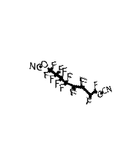 N#COC(F)C(F)C(F)C(F)C(F)(F)C(F)(F)C(F)(F)C(F)(F)OC#N